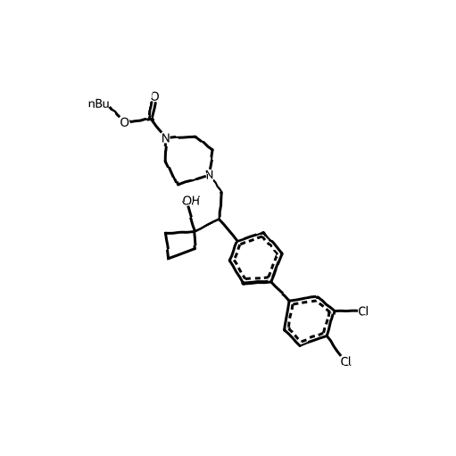 CCCCOC(=O)N1CCN(CC(c2ccc(-c3ccc(Cl)c(Cl)c3)cc2)C2(O)CCC2)CC1